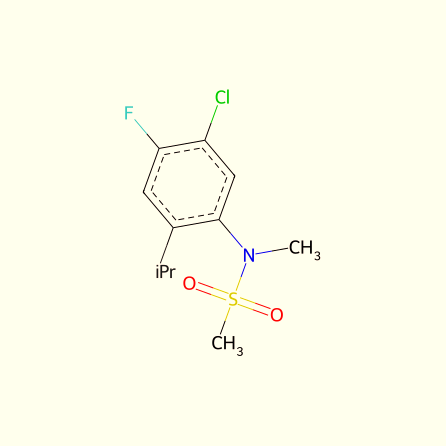 CC(C)c1cc(F)c(Cl)cc1N(C)S(C)(=O)=O